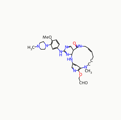 COc1ccc(NC2=NC3Nc4cnc(OCC=O)c(c4)N(C)CCC/C=C\CNC(=O)C3C=N2)cc1N1CCN(C)CC1